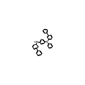 C1=CC(Nc2ccc(N(c3ccccc3)c3cccc(-c4ccccc4)c3)cc2)CC(c2ccccc2)=C1